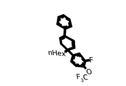 CCCCCCC1(c2ccc(OC(F)(F)F)c(F)c2)C=CC(c2ccccc2)=CC1